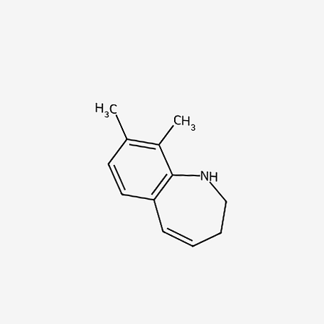 Cc1ccc2c(c1C)NCCC=C2